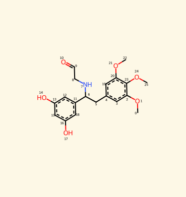 COc1cc(CC(NCC=O)c2cc(O)cc(O)c2)cc(OC)c1OC